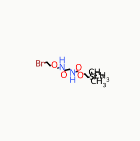 C[Si](C)(C)CCOC(=O)NCC(=O)NCOCCBr